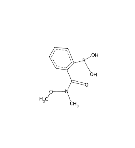 CON(C)C(=O)c1ccccc1B(O)O